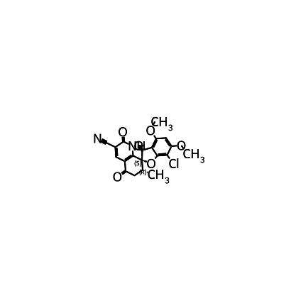 COc1cc(OC)c2c(c1Cl)O[C@]1(C2=O)c2[nH]c(=O)c(C#N)cc2C(=O)C[C@H]1C